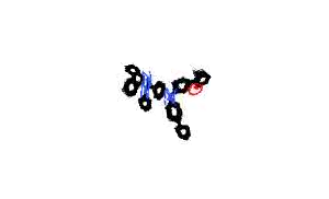 c1ccc(-c2ccc(N(c3ccc(-c4nc5c6ccccc6c6ccccc6c5n4-c4ccccc4)cc3)c3ccc4c(c3)oc3ccccc34)cc2)cc1